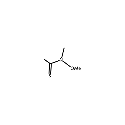 CON(C)C(C)=S